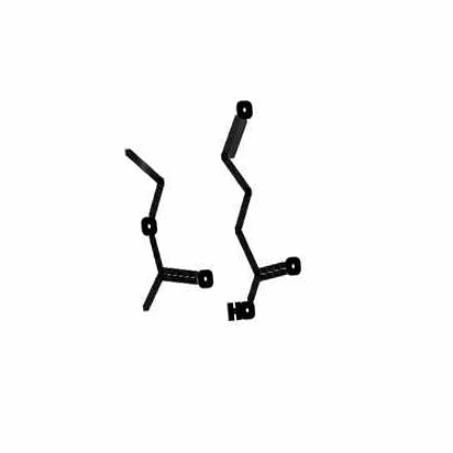 CCOC(C)=O.O=CCCC(=O)O